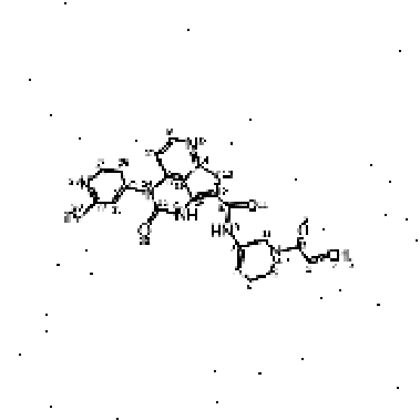 C=CC(=O)N1CCC=C(NC(=O)c2sc3nccc4c3c2NC(=O)N4c2ccnc(C(C)C)c2)C1